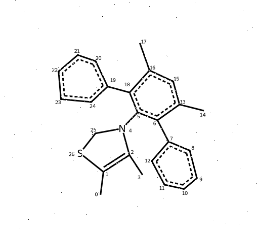 CC1=C(C)N(c2c(-c3ccccc3)c(C)cc(C)c2-c2ccccc2)[C]S1